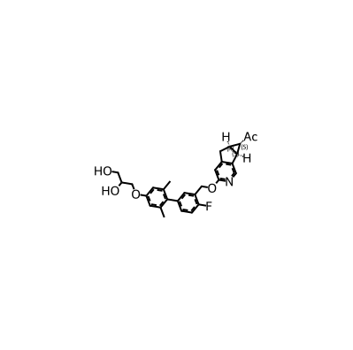 CC(=O)[C@H]1[C@@H]2Cc3cc(OCc4cc(-c5c(C)cc(OCC(O)CO)cc5C)ccc4F)ncc3[C@@H]21